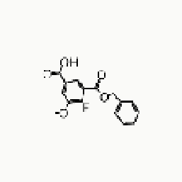 COc1cc(C(=O)O)cc(C(=O)OCc2ccccc2)c1F